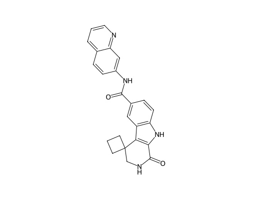 O=C(Nc1ccc2cccnc2c1)c1ccc2[nH]c3c(c2c1)C1(CCC1)CNC3=O